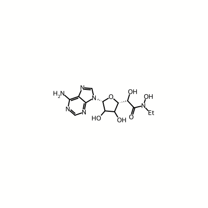 CCN(O)C(=O)C(O)[C@H]1O[C@@H](n2cnc3c(N)ncnc32)C(O)C1O